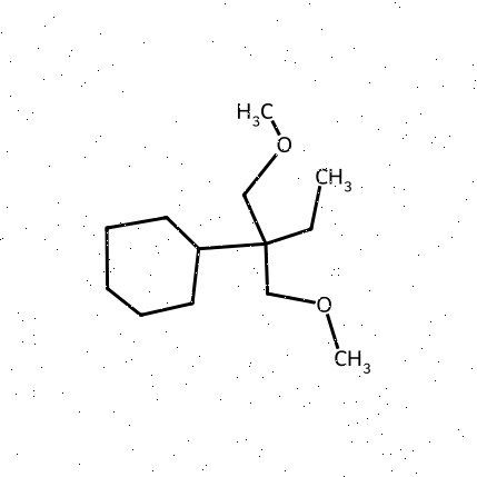 CCC(COC)(COC)C1CCCCC1